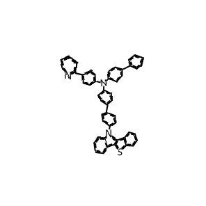 c1ccc(-c2ccc(N(c3ccc(-c4ccc(-n5c6ccccc6c6sc7ccccc7c65)cc4)cc3)c3ccc(-c4ccccn4)cc3)cc2)cc1